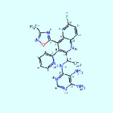 Cc1noc(-c2c(-c3ccccn3)c(C(C)Nc3ncnc(N)c3N)nc3ccc(F)cc23)n1